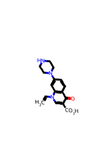 C=Cn1cc(C(=O)O)c(=O)c2ccc(N3CCNCC3)cc21